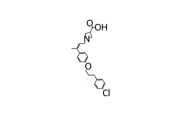 C/C(=C/CN1CC(C(=O)O)C1)c1ccc(OC[C@@H](C)Cc2ccc(Cl)cc2)cc1